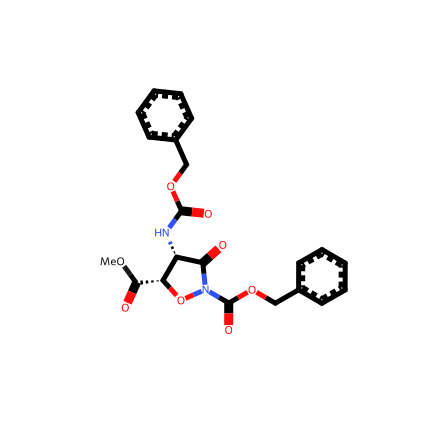 COC(=O)[C@H]1ON(C(=O)OCc2ccccc2)C(=O)[C@H]1NC(=O)OCc1ccccc1